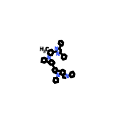 Cc1cc(-c2nc(-c3ccccc3)cc(-c3ccccc3)n2)cc(-n2c3ccccc3c3cc(-c4ccc5c(c4)c4ccc6c(ccn6-c6ccccc6)c4n5-c4ccccc4)ccc32)c1